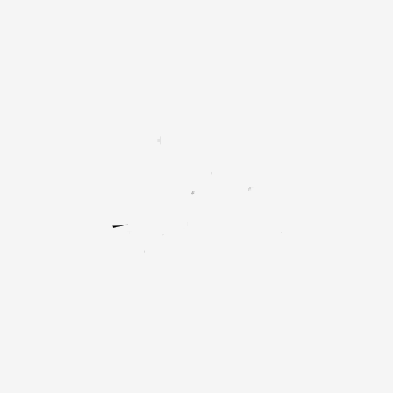 C[C@H](CC=O)O[C@@H]1OC2O[C@@H]2CC1O